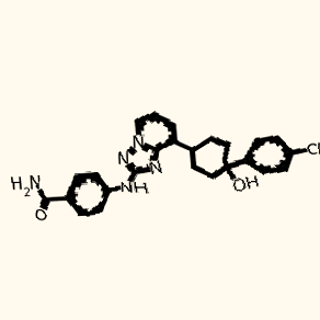 NC(=O)c1ccc(Nc2nc3c(C4CCC(O)(c5ccc(Cl)cc5)CC4)cccn3n2)cc1